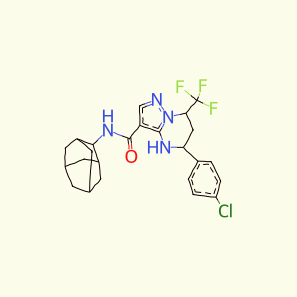 O=C(NC1C2CC3CC(C2)CC1C3)c1cnn2c1NC(c1ccc(Cl)cc1)CC2C(F)(F)F